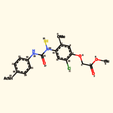 COc1cc(OCC(=O)OC(C)(C)C)c(Cl)cc1N(S)C(=O)Nc1ccc(NC(C)=O)cc1